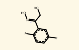 OC/C(=N\O)c1cc(F)ccc1F